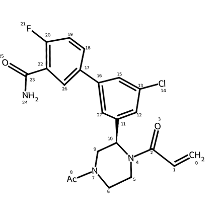 C=CC(=O)N1CCN(C(C)=O)C[C@H]1c1cc(Cl)cc(-c2ccc(F)c(C(N)=O)c2)c1